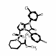 COC(=O)C1CCCCN1S(=O)(=O)c1cnc2n1[C@](C)(c1ccc(Br)cc1)C(=O)N2c1cc(Cl)cc(Cl)c1